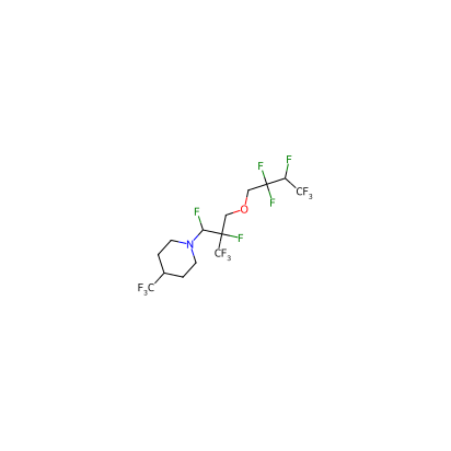 FC(C(F)(F)F)C(F)(F)COCC(F)(C(F)N1CCC(C(F)(F)F)CC1)C(F)(F)F